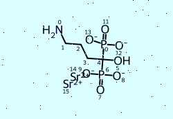 NCCCC(O)(P(=O)([O-])[O-])P(=O)([O-])[O-].[Sr+2].[Sr+2]